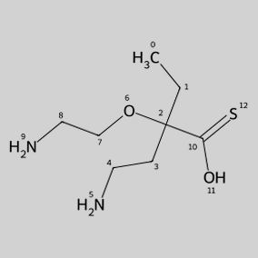 CCC(CCN)(OCCN)C(O)=S